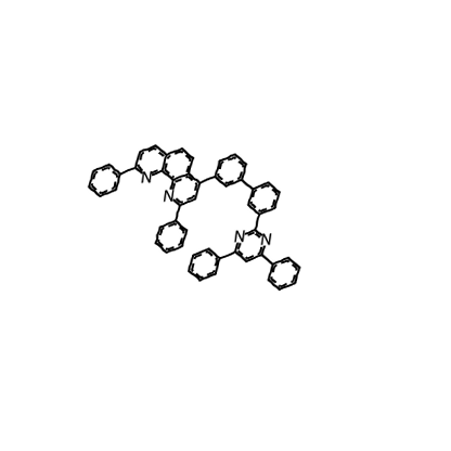 c1ccc(-c2cc(-c3ccccc3)nc(-c3cccc(-c4cccc(-c5cc(-c6ccccc6)nc6c5ccc5ccc(-c7ccccc7)nc56)c4)c3)n2)cc1